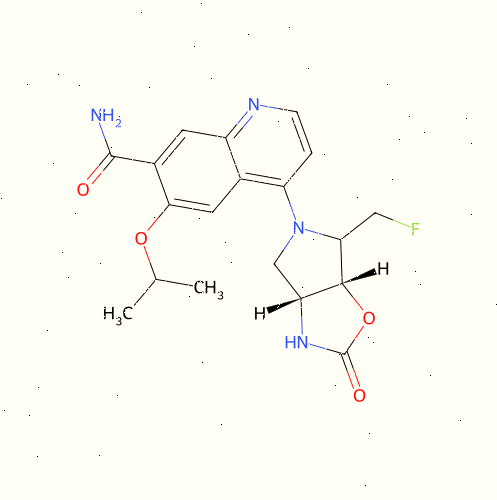 CC(C)Oc1cc2c(N3C[C@H]4NC(=O)O[C@H]4C3CF)ccnc2cc1C(N)=O